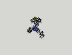 c1ccc2cc(-c3ccc(-c4nc(-c5ccc(-c6c7ccccc7cc7sc8ccccc8c67)cc5)nc(-c5ccc6ccccc6c5)n4)cc3)ccc2c1